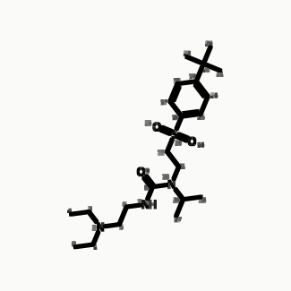 CCN(CC)CCNC(=O)N(CCS(=O)(=O)c1ccc(C(C)(C)C)cc1)C(C)C